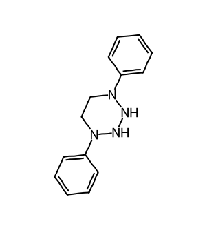 c1ccc(N2CCN(c3ccccc3)NN2)cc1